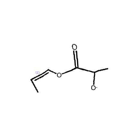 C/C=C\OC(=O)C(C)[O]